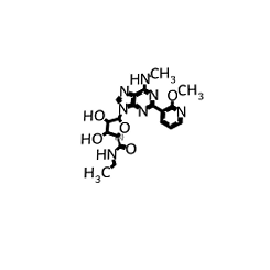 CCNC(=O)[C@@H]1OC(n2cnc3c(NC)nc(-c4cccnc4OC)nc32)C(O)C1O